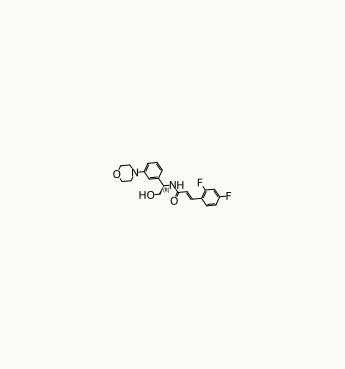 O=C(C=Cc1ccc(F)cc1F)N[C@@H](CO)c1cccc(N2CCOCC2)c1